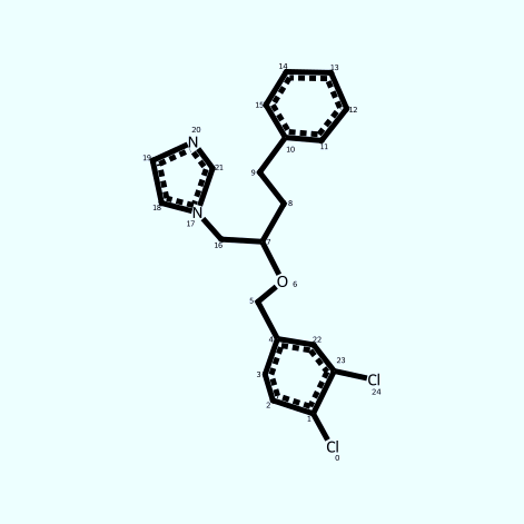 Clc1ccc(COC(CCc2ccccc2)Cn2ccnc2)cc1Cl